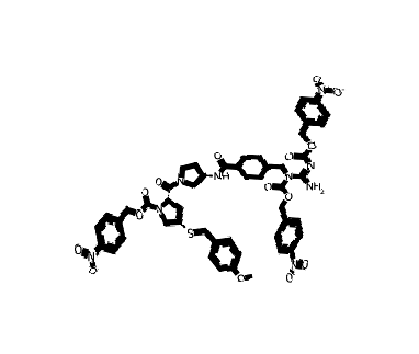 COc1ccc(CS[C@H]2C[C@@H](C(=O)N3CC[C@H](NC(=O)C4CCC(CN(C(=O)OCc5ccc([N+](=O)[O-])cc5)/C(N)=N\C(=O)OCc5ccc([N+](=O)[O-])cc5)CC4)C3)N(C(=O)OCc3ccc([N+](=O)[O-])cc3)C2)cc1